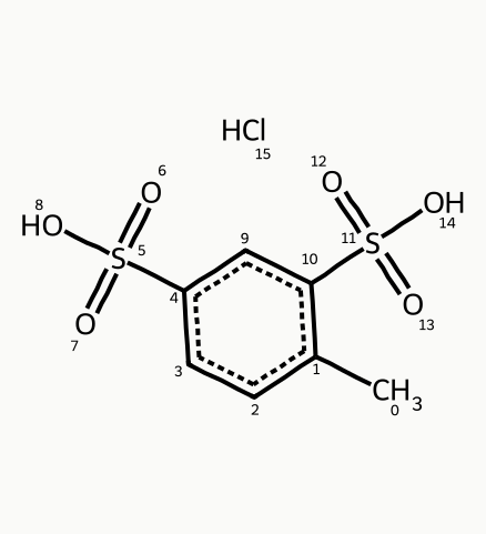 Cc1ccc(S(=O)(=O)O)cc1S(=O)(=O)O.Cl